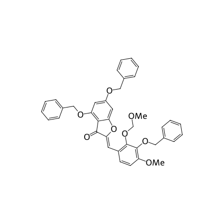 COCOc1c(C=C2Oc3cc(OCc4ccccc4)cc(OCc4ccccc4)c3C2=O)ccc(OC)c1OCc1ccccc1